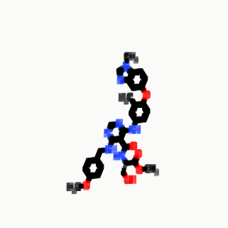 COC(=O)[C@H](CO)NC(=O)c1c(NCc2ccc(OC)cc2)ncnc1Nc1ccc(Oc2ccc3c(c2)ncn3C)c(C)c1